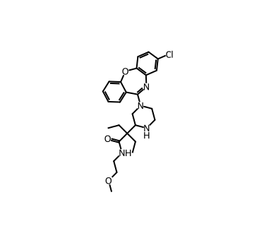 CCC(CC)(C(=O)NCCOC)C1CN(C2=Nc3cc(Cl)ccc3Oc3ccccc32)CCN1